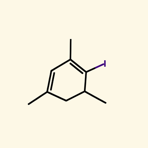 CC1=CC(C)=C(I)C(C)C1